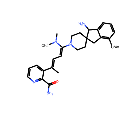 COc1cccc2c1CC1(CCN(/C(=C/C=C(\C)c3cccnc3C(N)=O)N(C)C=O)CC1)C2N